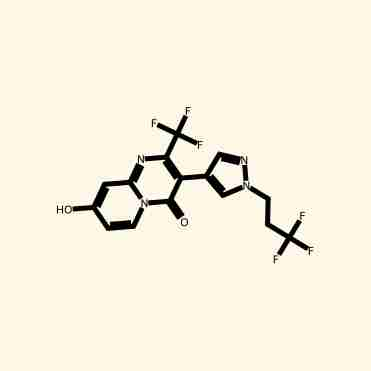 O=c1c(-c2cnn(CCC(F)(F)F)c2)c(C(F)(F)F)nc2cc(O)ccn12